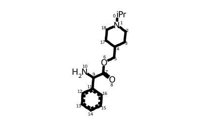 CC(C)N1CCC(COC(=O)C(N)c2ccccc2)CC1